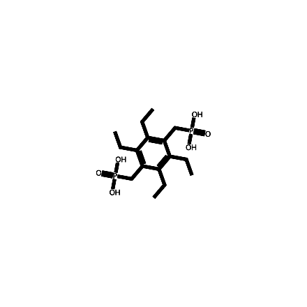 CCc1c(CC)c(CP(=O)(O)O)c(CC)c(CC)c1CP(=O)(O)O